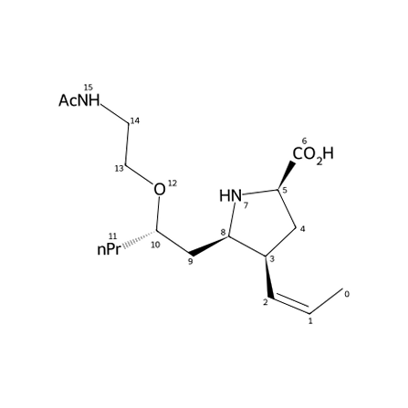 C/C=C\[C@@H]1C[C@H](C(=O)O)N[C@@H]1C[C@H](CCC)OCCNC(C)=O